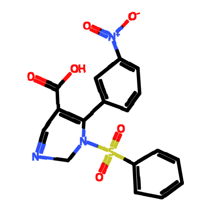 O=C(O)C1=C(c2cccc([N+](=O)[O-])c2)N(S(=O)(=O)c2ccccc2)CN=C1